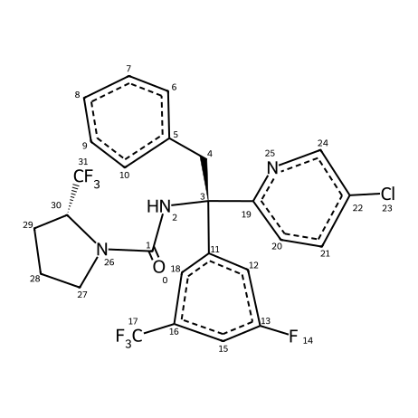 O=C(N[C@@](Cc1ccccc1)(c1cc(F)cc(C(F)(F)F)c1)c1ccc(Cl)cn1)N1CCC[C@@H]1C(F)(F)F